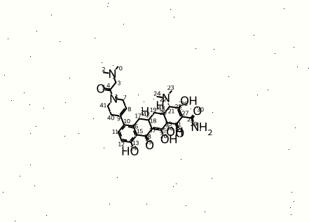 CN(C)CC(=O)N1CC=C(c2ccc(O)c3c2C[C@H]2C[C@H]4[C@H](N(C)C)C(O)=C(C(N)=O)C(=O)[C@@]4(O)C(O)=C2C3=O)CC1